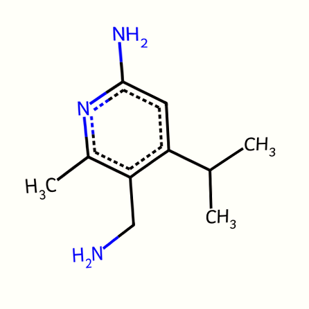 Cc1nc(N)cc(C(C)C)c1CN